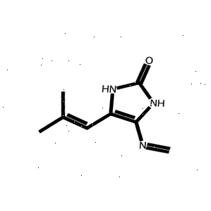 C=Nc1[nH]c(=O)[nH]c1C=C(C)C